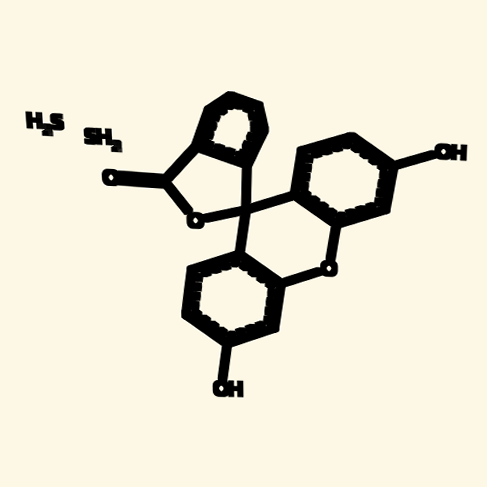 O=C1OC2(c3ccc(O)cc3Oc3cc(O)ccc32)c2ccccc21.S.S